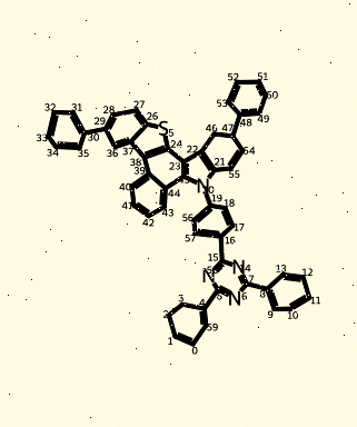 C1=CCCC(c2nc(-c3ccccc3)nc(-c3ccc(-n4c5c(c6c7sc8ccc(-c9ccccc9)cc8c7c7ccccc7c64)CC(c4ccccc4)C=C5)cc3)n2)=C1